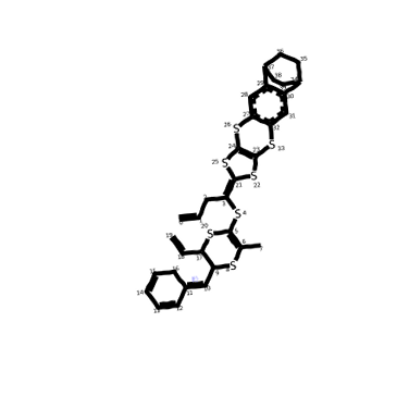 C=CCC(SC1=C(C)SC(/C=C2/C=CC=CC2)C(C=C)S1)=C1SC2=C(S1)Sc1cc3c(cc1S2)C1CCC3CC1